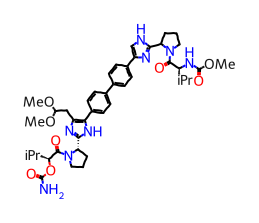 COC(=O)N[C@H](C(=O)N1CCCC1c1nc(-c2ccc(-c3ccc(-c4[nH]c([C@@H]5CCCN5C(=O)[C@@H](OC(N)=O)C(C)C)nc4CC(OC)OC)cc3)cc2)c[nH]1)C(C)C